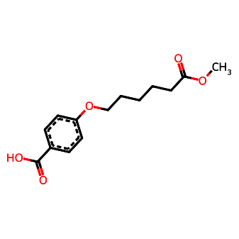 COC(=O)CCCCCOc1ccc(C(=O)O)cc1